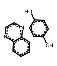 Oc1ccc(O)cc1.c1ccc2nccnc2c1